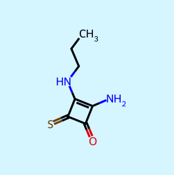 CCCNc1c(N)c(=O)c1=S